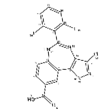 O=C(O)c1ccc2c(c1)-c1[nH]nc(Cl)c1N=C(c1c(F)cccc1F)N2